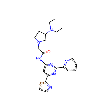 CCN(CC)C1CCN(CC(=O)Nc2cc(-c3nccs3)nc(-c3ccccn3)n2)C1